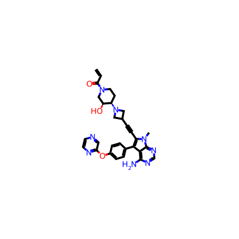 C=CC(=O)N1CC[C@@H](N2CC(C#Cc3c(-c4ccc(Oc5cnccn5)cc4)c4c(N)ncnc4n3C)C2)[C@@H](O)C1